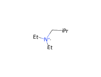 CC[N+](CC)CC(C)C